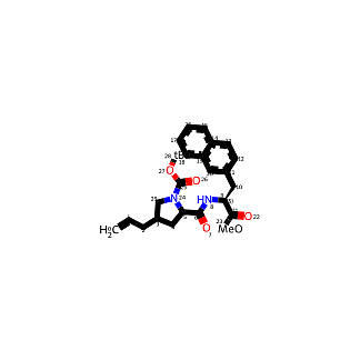 C=CCC1CC(C(=O)N[C@@H](Cc2ccc3ccccc3c2)C(=O)OC)N(C(=O)OC(C)(C)C)C1